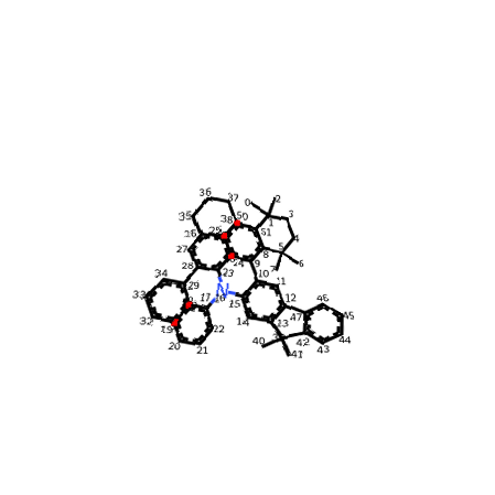 CC1(C)CCC(C)(C)c2c(-c3cc4c(cc3N(c3ccccc3)c3cc5c(cc3-c3ccccc3)CCCC5)C(C)(C)c3ccccc3-4)cccc21